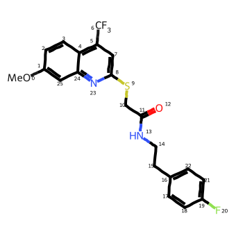 COc1ccc2c(C(F)(F)F)cc(SCC(=O)NCCc3ccc(F)cc3)nc2c1